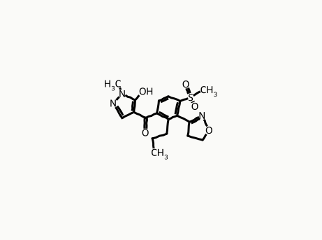 CCCc1c(C(=O)c2cnn(C)c2O)ccc(S(C)(=O)=O)c1C1=NOCC1